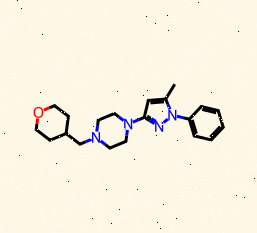 Cc1cc(N2CCN(CC3CCOCC3)CC2)nn1-c1ccccc1